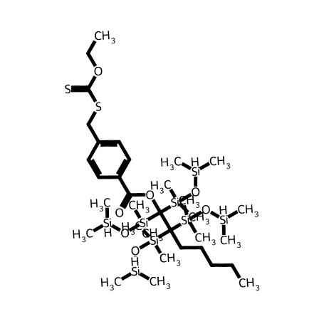 CCCCCC(C(OC(=O)c1ccc(CSC(=S)OCC)cc1)([Si](C)(C)O[SiH](C)C)[Si](C)(C)O[SiH](C)C)([Si](C)(C)O[SiH](C)C)[Si](C)(C)O[SiH](C)C